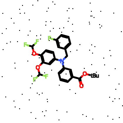 CC(C)(C)OC(=O)c1cccc(N(Cc2cccc(F)c2)c2ccc(OC(F)F)c(OC(F)F)c2)c1